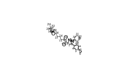 CSc1ccc(-c2cc(C(=O)C(=O)CCCCO[Si](C)(C)C(C)(C)C)nn2C2CCCCC2)cc1